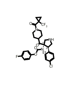 CCN(C(=O)Oc1ccc(F)cc1)[C@]1(C(=O)C2CCN(C(=O)C3(C(F)(F)F)CC3)CC2)CNC[C@H]1c1ccc(Cl)cc1